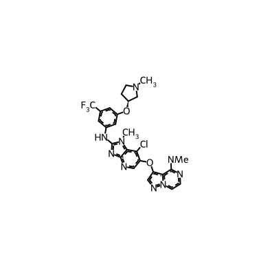 CNc1nccn2ncc(Oc3cnc4nc(Nc5cc(O[C@H]6CCN(C)C6)cc(C(F)(F)F)c5)n(C)c4c3Cl)c12